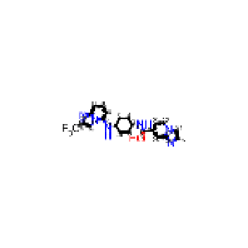 OC(N[C@H]1CC[C@@H](Nc2cccc3nc(C(F)(F)F)cn23)CC1)c1ccn2ccnc2c1